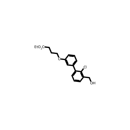 CCOC(=O)CCCOc1cccc(-c2cccc(CO)c2Cl)c1